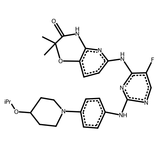 CC(C)OC1CCN(c2ccc(Nc3ncc(F)c(Nc4ccc5c(n4)NC(=O)C(C)(C)O5)n3)cc2)CC1